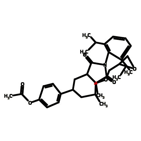 CC(=O)Oc1ccc(C(CC(C)COCC2CO2)CC2C(=O)N(c3c(C(C)C)cccc3C(C)C)C(=O)C2C)cc1